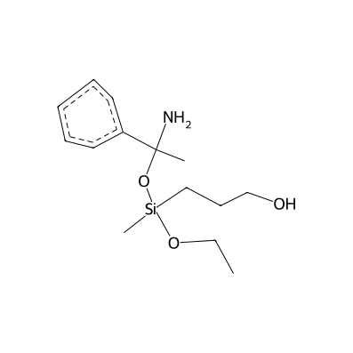 CCO[Si](C)(CCCO)OC(C)(N)c1ccccc1